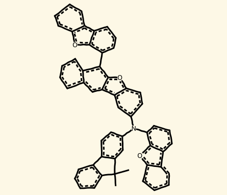 CC1(C)c2ccccc2-c2ccc(N(c3ccc4oc5c(-c6cccc7c6oc6ccccc67)c6ccccc6cc5c4c3)c3cccc4c3oc3ccccc34)cc21